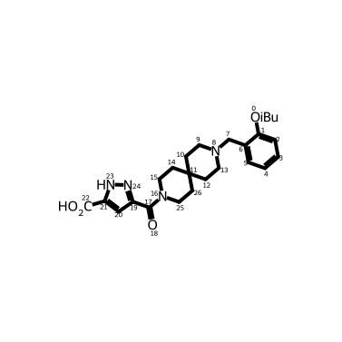 CC(C)COc1ccccc1CN1CCC2(CC1)CCN(C(=O)c1cc(C(=O)O)[nH]n1)CC2